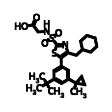 CC(C)(C)c1cc(-c2sc(S(=O)(=O)NCC(=O)O)nc2CC2CCCCC2)cc(C2(C)CC2)c1